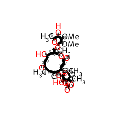 COC1C(OCC2CC(O)/C=C/C(=O)C(C)CC(C)C(OC3OC(C)CC4(OC(=O)OC4C)C3O)C(C)/C=C/C(=O)OC2C)OC(C)C(O)C1OC